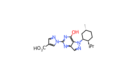 CC(C)[C@@H]1CC[C@@H](C)C[C@@H]1n1ncc2nc(-n3cc(C(=O)O)cn3)nc(O)c21